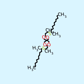 CCCCCCCCCCC(C)SC(C)CC1OCC2(CO1)COC(CC(C)SC(C)CCCCCCCCCC)OC2